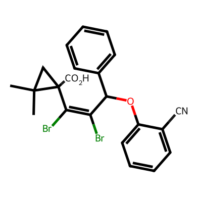 CC1(C)CC1(C(=O)O)/C(Br)=C(/Br)C(Oc1ccccc1C#N)c1ccccc1